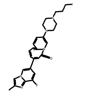 Cc1cn2cc(C3=C\C(=O)N4C=C(N5CCN(CCCI)CC5)C=C\C4=C/C=C/3)cc(F)c2n1